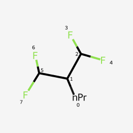 CCCC(C(F)F)C(F)F